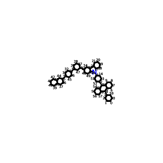 c1ccc(-c2c3ccccc3c(-c3ccc(-n4c5ccccc5c5cc(-c6cccc(-c7ccc(-c8ccc9ccccc9c8)cc7)c6)ccc54)cc3)c3ccccc23)cc1